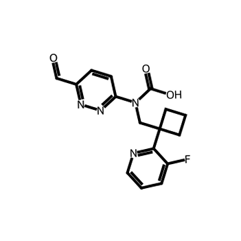 O=Cc1ccc(N(CC2(c3ncccc3F)CCC2)C(=O)O)nn1